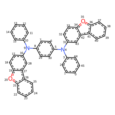 c1ccc(N(c2ccc(N(c3ccccc3)c3ccc4oc5ccccc5c4c3)cc2)c2ccc3oc4ccccc4c3c2)cc1